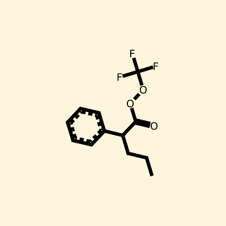 CCCC(C(=O)OOC(F)(F)F)c1ccccc1